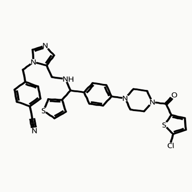 N#Cc1ccc(Cn2cncc2CNC(c2ccc(N3CCN(C(=O)c4ccc(Cl)s4)CC3)cc2)c2ccsc2)cc1